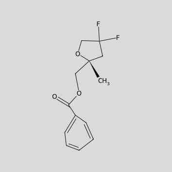 C[C@]1(COC(=O)c2ccccc2)CC(F)(F)CO1